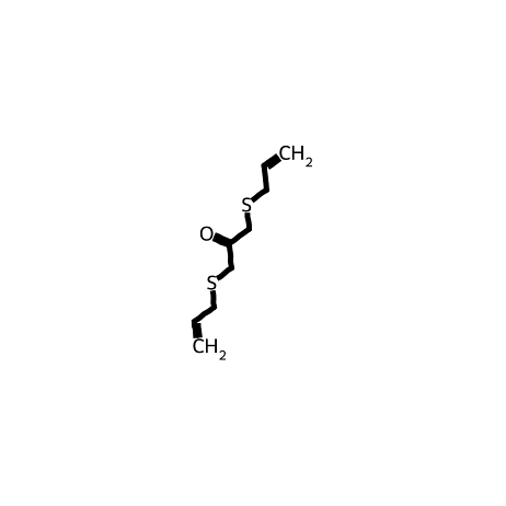 C=CCSCC(=O)CSCC=C